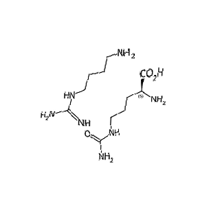 N=C(N)NCCCCN.NC(=O)NCCC[C@H](N)C(=O)O